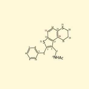 CC(=O)NCc1c(Cc2ccccc2)sc2ccc3c(c12)CCCS3